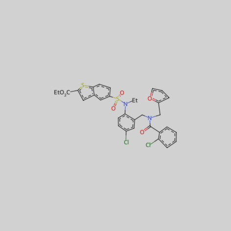 CCOC(=O)c1cc2cc(S(=O)(=O)N(CC)c3ccc(Cl)cc3CN(Cc3ccco3)C(=O)c3ccccc3Cl)ccc2s1